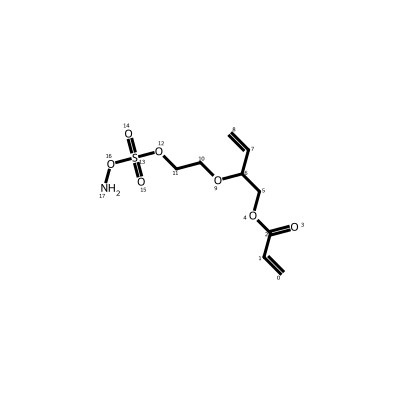 C=CC(=O)OCC(C=C)OCCOS(=O)(=O)ON